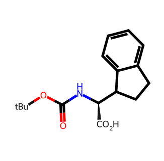 CC(C)(C)OC(=O)N[C@H](C(=O)O)C1CCc2ccccc21